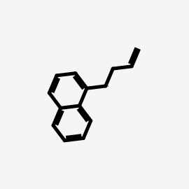 C=CC[CH]c1cccc2ccccc12